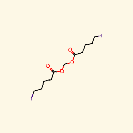 O=C(CCCCI)OCOC(=O)CCCCI